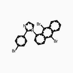 Brc1ccc(-c2nccn2-c2cccc3c(Br)c4ccccc4c(Br)c23)cc1